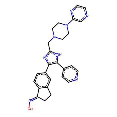 ON=C1CCc2cc(-c3nc(CN4CCN(c5cnccn5)CC4)[nH]c3-c3ccncc3)ccc21